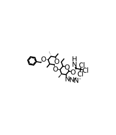 CCC1OC(OC(=N)C(Cl)(Cl)Cl)C(N=[N+]=[N-])[C@@H](C)[C@H]1O[C@@H]1OC(C)[C@@H](C)[C@@H](OCc2ccccc2)C1C